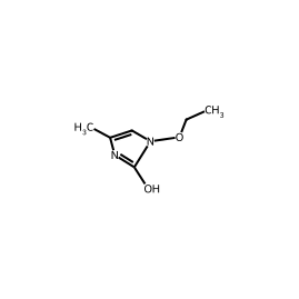 CCOn1cc(C)nc1O